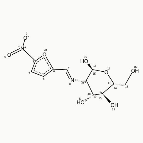 O=[N+]([O-])c1ccc(C=N[C@H]2[C@@H](O)[C@H](O)[C@@H](CO)O[C@@H]2O)o1